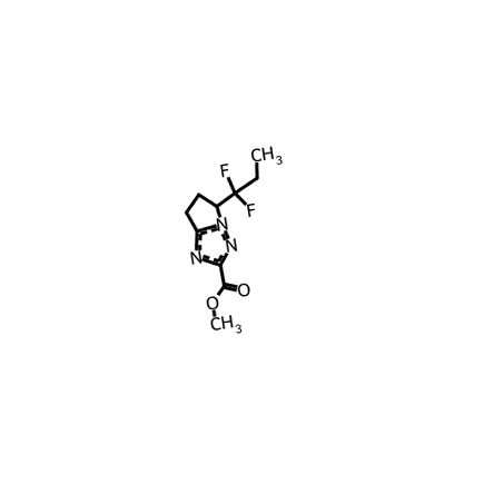 CCC(F)(F)C1CCc2nc(C(=O)OC)nn21